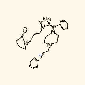 O=C1CCCN1CCCn1nnnc1[C@@H](c1ccccc1)N1CCN(C/C=C/c2ccccc2)CC1